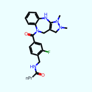 CCCC(=O)NCc1ccc(C(=O)N2CC3=C(Nc4ccccc42)N(C)N(C)C3)cc1F